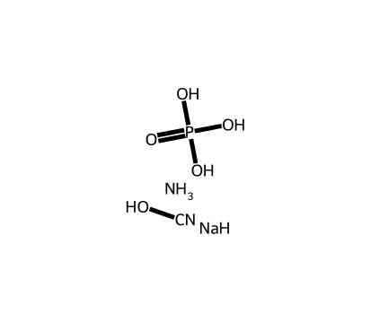 N.N#CO.O=P(O)(O)O.[NaH]